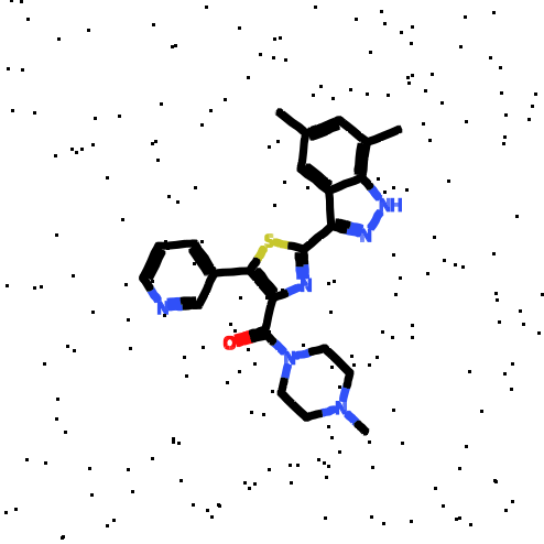 Cc1cc(C)c2[nH]nc(-c3nc(C(=O)N4CCN(C)CC4)c(-c4cccnc4)s3)c2c1